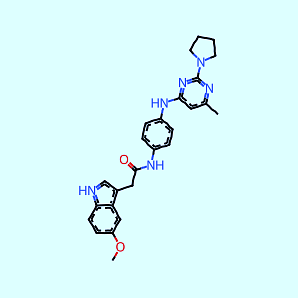 COc1ccc2[nH]cc(CC(=O)Nc3ccc(Nc4cc(C)nc(N5CCCC5)n4)cc3)c2c1